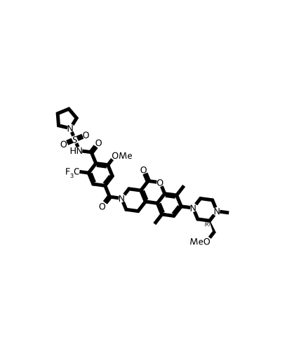 COC[C@H]1CN(c2cc(C)c3c4c(c(=O)oc3c2C)CN(C(=O)c2cc(OC)c(C(=O)NS(=O)(=O)N3CCCC3)c(C(F)(F)F)c2)CC4)CCN1C